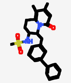 Cc1cc(=O)n2c(c1C)CCC(NS(C)(=O)=O)C2Cc1cccc(-c2ccccc2)c1